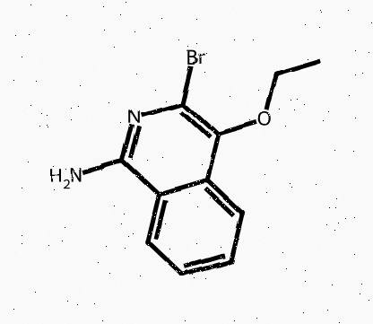 CCOc1c(Br)nc(N)c2ccccc12